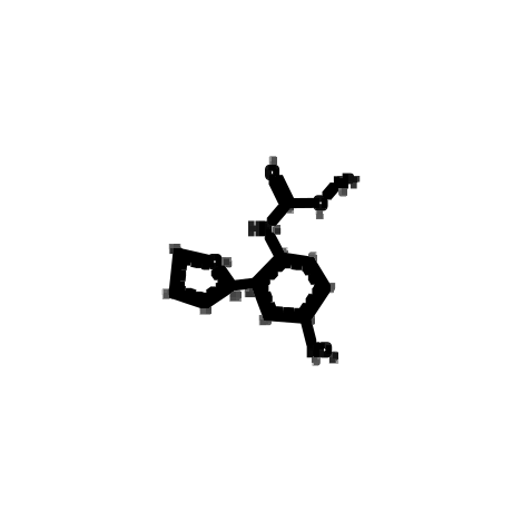 CCCOC(=O)Nc1ccc([N+](=O)[O-])cc1-c1ccco1